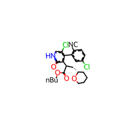 CCCCOC(=O)C(C[C@@H]1CCCCO1)c1c(-c2cc(Cl)ccc2C#N)c(Cl)c[nH]c1=O